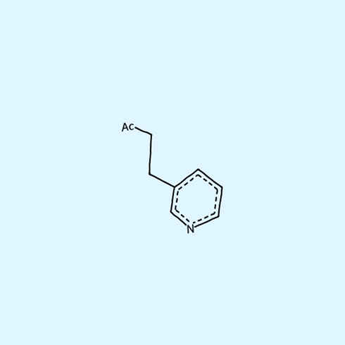 CC(=O)CCc1cccnc1